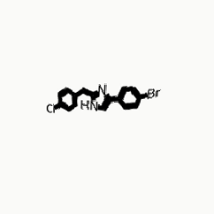 Clc1ccc(Cc2nc(-c3ccc(Br)cc3)c[nH]2)cc1